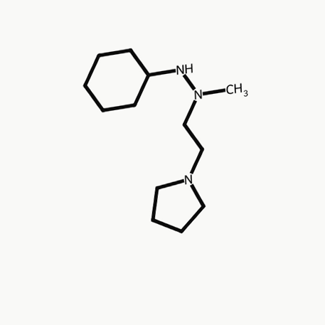 CN(CCN1CCCC1)NC1CCCCC1